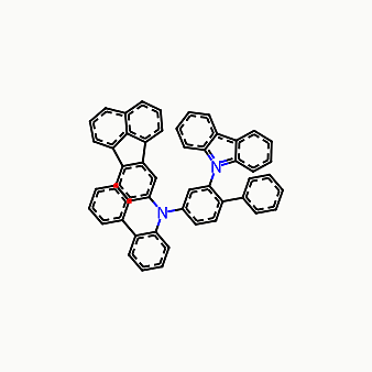 c1ccc(-c2ccccc2N(c2ccc3c(c2)-c2cccc4cccc-3c24)c2ccc(-c3ccccc3)c(-n3c4ccccc4c4ccccc43)c2)cc1